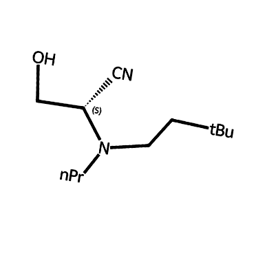 CCCN(CCC(C)(C)C)[C@@H](C#N)CO